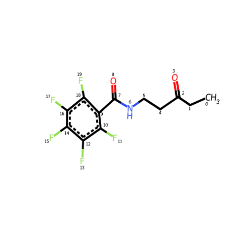 CCC(=O)CCNC(=O)c1c(F)c(F)c(F)c(F)c1F